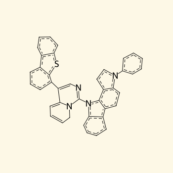 C1=CCN2C(=C1)C(c1cccc3c1sc1ccccc13)=CN=C2n1c2ccccc2c2ccc3c(ccn3-c3ccccc3)c21